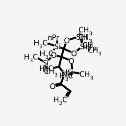 C=CC(=O)NC(C)C(O[SiH](C)C)(O[SiH](C)C)C(O[SiH](C)C)(O[SiH](C)C)[Si](C)(C)CCC